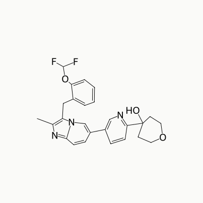 Cc1nc2ccc(-c3ccc(C4(O)CCOCC4)nc3)cn2c1Cc1ccccc1OC(F)F